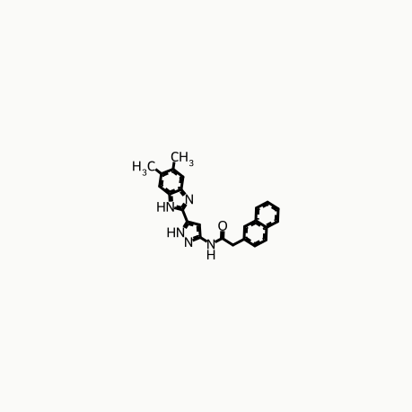 Cc1cc2nc(-c3cc(NC(=O)Cc4ccc5ccccc5c4)n[nH]3)[nH]c2cc1C